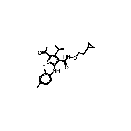 CC(=O)c1sc(Nc2ccc(C)cc2F)c(C(=O)NOCCC2CC2)c1C(C)C